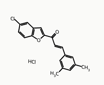 Cc1cc(C)cc(C=CC(=O)c2cc3cc(Cl)ccc3o2)c1.Cl